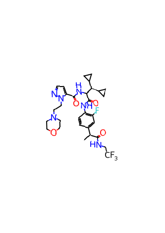 CC(C(=O)NCC(F)(F)F)c1ccc(NC(=O)C(NC(=O)c2ccnn2CCN2CCOCC2)C(C2CC2)C2CC2)c(F)c1